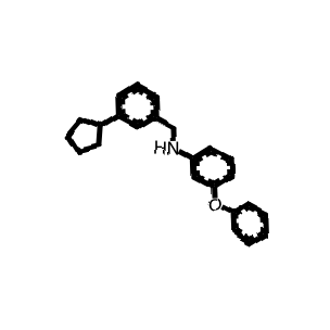 c1ccc(Oc2cccc(NCc3cccc(C4CCCC4)c3)c2)cc1